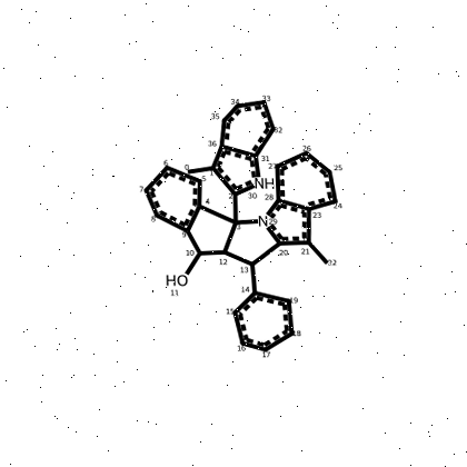 Cc1c(C23c4ccccc4C(O)C2C(c2ccccc2)c2c(C)c4ccccc4n23)[nH]c2ccccc12